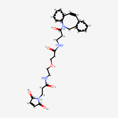 O=C(CCOCCNC(=O)CCN1C(=O)C=CC1=O)NCCC(=O)N1Cc2ccccc2C#Cc2ccccc21